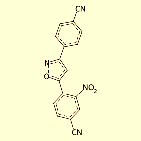 N#Cc1ccc(-c2cc(-c3ccc(C#N)cc3[N+](=O)[O-])on2)cc1